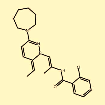 CC=C1C=CC(N2CCCCCC2)=NN1/C=C(\C)NC(=O)c1ccccc1Cl